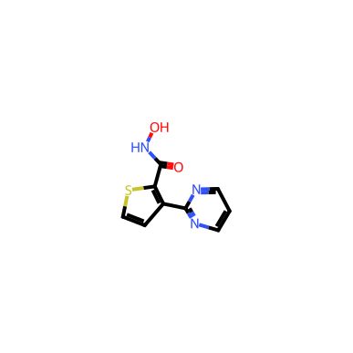 O=C(NO)c1sccc1-c1ncccn1